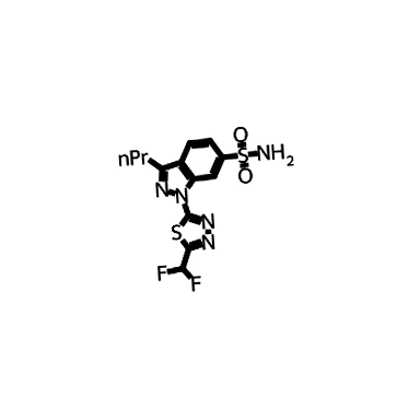 CCCc1nn(-c2nnc(C(F)F)s2)c2cc(S(N)(=O)=O)ccc12